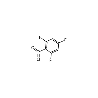 O=[PH](Cl)c1c(F)cc(F)cc1F